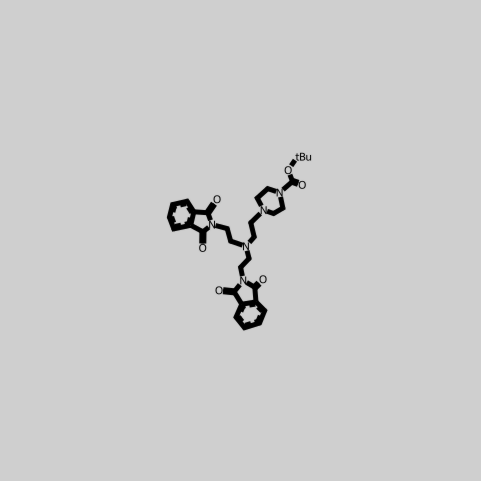 CC(C)(C)OC(=O)N1CCN(CCN(CCN2C(=O)c3ccccc3C2=O)CCN2C(=O)c3ccccc3C2=O)CC1